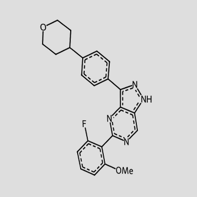 COc1cccc(F)c1-c1ncc2[nH]nc(-c3ccc(C4CCOCC4)cc3)c2n1